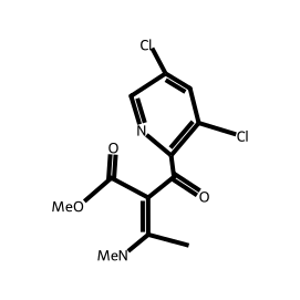 CNC(C)=C(C(=O)OC)C(=O)c1ncc(Cl)cc1Cl